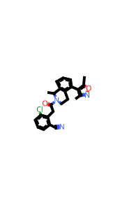 Cc1noc(C)c1-c1cccc2c1CCN(C(=O)Cc1c(Cl)cccc1C#N)C2C